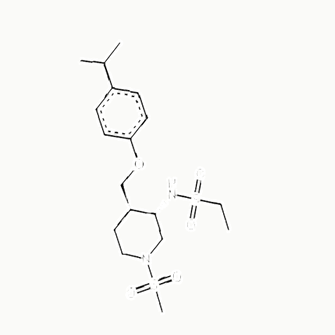 CCS(=O)(=O)N[C@@H]1CN(S(C)(=O)=O)CC[C@H]1COc1ccc(C(C)C)cc1